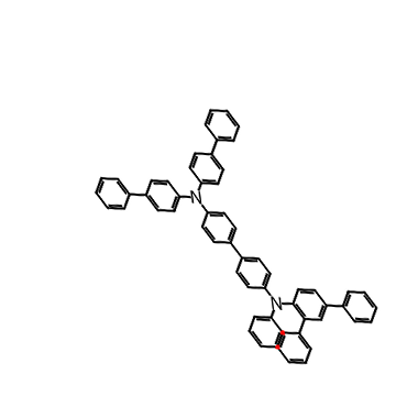 c1ccc(-c2ccc(N(c3ccc(-c4ccccc4)cc3)c3ccc(-c4ccc(N(c5ccccc5)c5ccc(-c6ccccc6)cc5-c5ccccc5)cc4)cc3)cc2)cc1